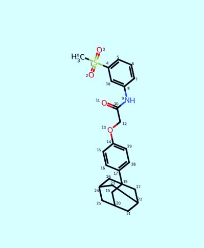 CS(=O)(=O)c1cccc(NC(=O)COc2ccc(C34CC5CC(CC(C5)C3)C4)cc2)c1